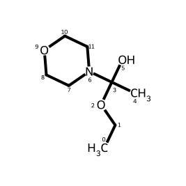 CCOC(C)(O)N1CCOCC1